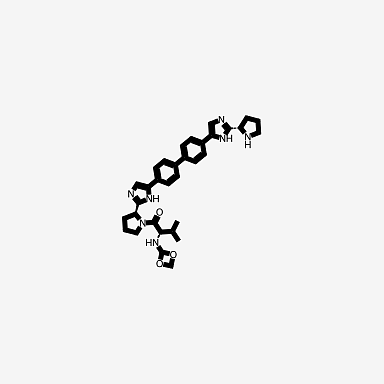 CC(C)[C@H](NC1OCO1)C(=O)N1CCC[C@H]1c1ncc(-c2ccc(-c3ccc(-c4cnc([C@@H]5CCCN5)[nH]4)cc3)cc2)[nH]1